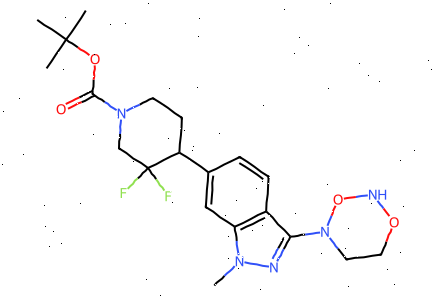 Cn1nc(N2CCONO2)c2ccc(C3CCN(C(=O)OC(C)(C)C)CC3(F)F)cc21